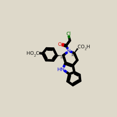 O=C(O)c1ccc([C@H]2c3[nH]c4ccccc4c3C[C@H](C(=O)O)N2C(=O)CCl)cc1